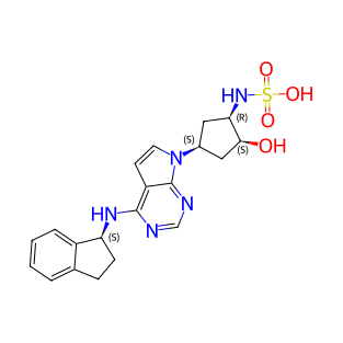 O=S(=O)(O)N[C@@H]1C[C@H](n2ccc3c(N[C@H]4CCc5ccccc54)ncnc32)C[C@@H]1O